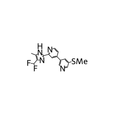 CSc1cncc(-c2ccnc(-c3nc(C(F)F)c(C)[nH]3)c2)c1